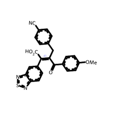 COc1ccc(C(=O)/C(Cc2ccc(C#N)cc2)=C(/C(=O)O)c2ccc3nsnc3c2)cc1